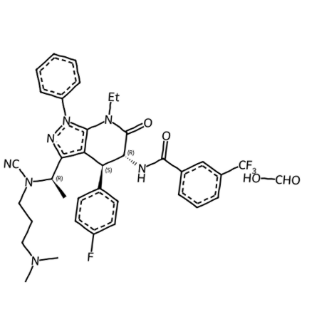 CCN1C(=O)[C@H](NC(=O)c2cccc(C(F)(F)F)c2)[C@@H](c2ccc(F)cc2)c2c([C@@H](C)N(C#N)CCCN(C)C)nn(-c3ccccc3)c21.O=CO